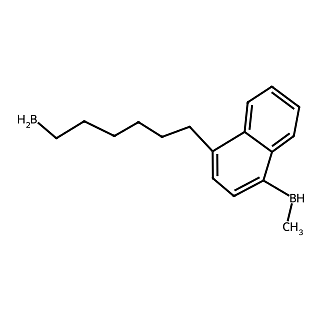 BCCCCCCc1ccc(BC)c2ccccc12